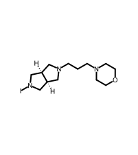 IN1C[C@@H]2CN(CCCN3CCOCC3)C[C@@H]2C1